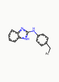 CC(=O)Cc1ccc(Nc2nc3ccccc3[nH]2)cc1